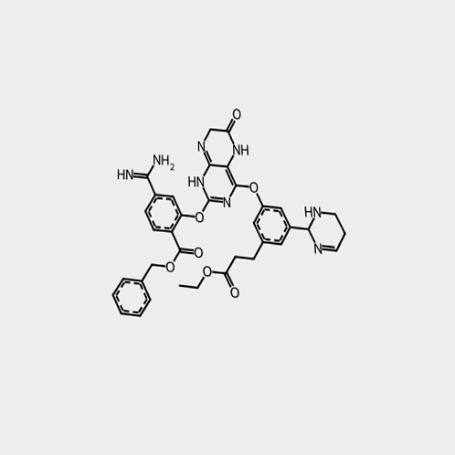 CCOC(=O)CCc1cc(OC2=C3NC(=O)CN=C3NC(Oc3cc(C(=N)N)ccc3C(=O)OCc3ccccc3)=N2)cc(C2N=CCCN2)c1